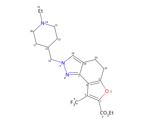 CCOC(=O)c1oc2c(c1C(F)(F)F)-c1nn(CC3CCN(CC)CC3)cc1CC2